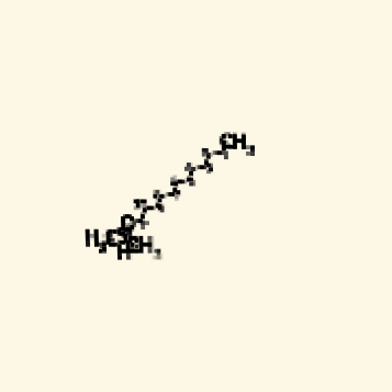 CCCCCCCCCCCCO[SiH](C)C